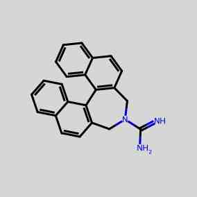 N=C(N)N1Cc2ccc3ccccc3c2-c2c(ccc3ccccc23)C1